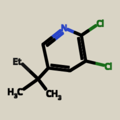 CCC(C)(C)c1cnc(Cl)c(Cl)c1